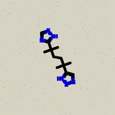 CC(C)(CCC(C)(C)c1ncn[nH]1)c1cnn[nH]1